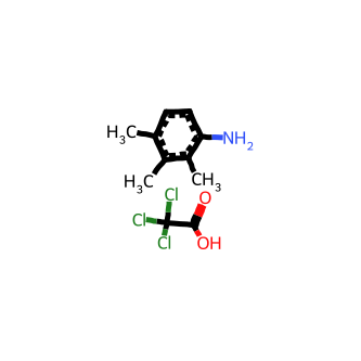 Cc1ccc(N)c(C)c1C.O=C(O)C(Cl)(Cl)Cl